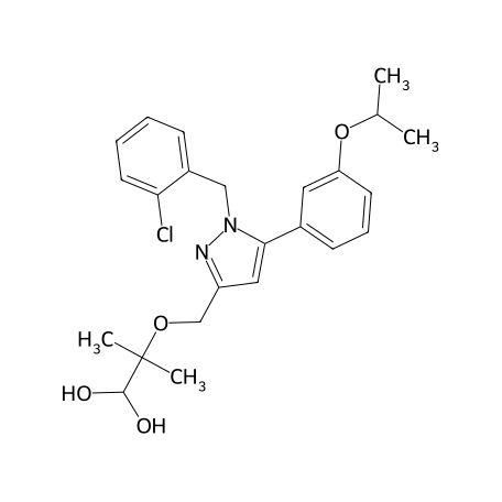 CC(C)Oc1cccc(-c2cc(COC(C)(C)C(O)O)nn2Cc2ccccc2Cl)c1